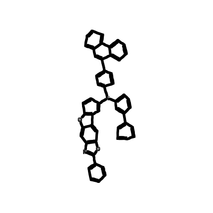 c1ccc(-c2cccc(N(c3ccc(-c4cc5ccccc5c5ccccc45)cc3)c3ccc4oc5cc6nc(-c7ccccc7)oc6cc5c4c3)c2)cc1